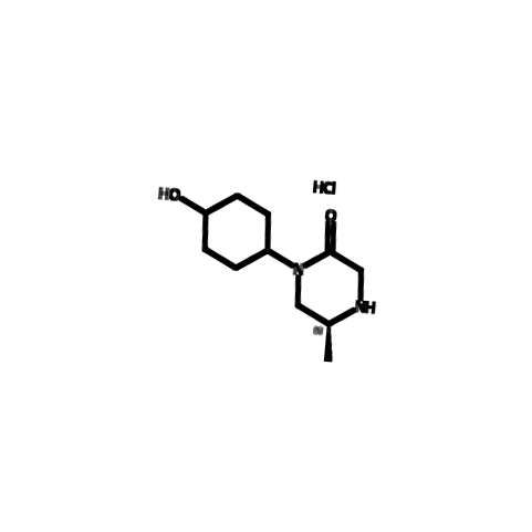 C[C@H]1CN(C2CCC(O)CC2)C(=O)CN1.Cl